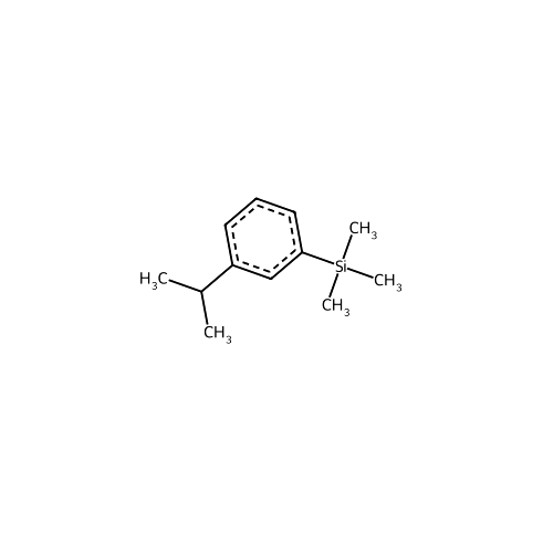 CC(C)c1cccc([Si](C)(C)C)c1